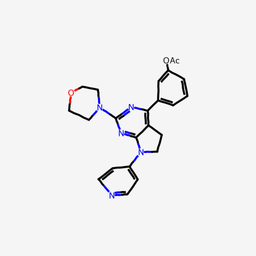 CC(=O)Oc1cccc(-c2nc(N3CCOCC3)nc3c2CCN3c2ccncc2)c1